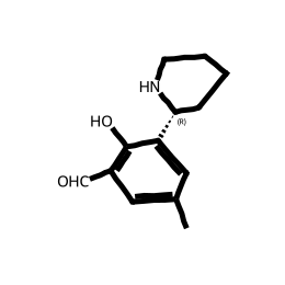 Cc1cc(C=O)c(O)c([C@H]2CCCCN2)c1